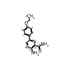 CCOc1ccc(-c2cnc(N)c(C(N)=O)n2)cc1